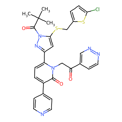 CC(C)(C)C(=O)n1nc(-c2ccc(-c3ccncc3)c(=O)n2CC(=O)c2ccnnc2)cc1SCc1ccc(Cl)s1